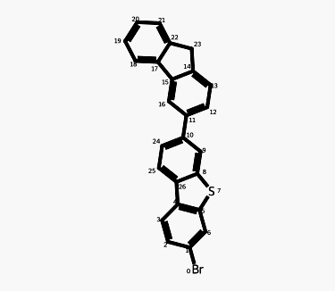 Brc1ccc2c(c1)sc1cc(-c3ccc4c(c3)-c3ccccc3C4)ccc12